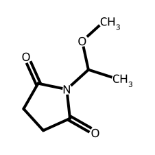 COC(C)N1C(=O)CCC1=O